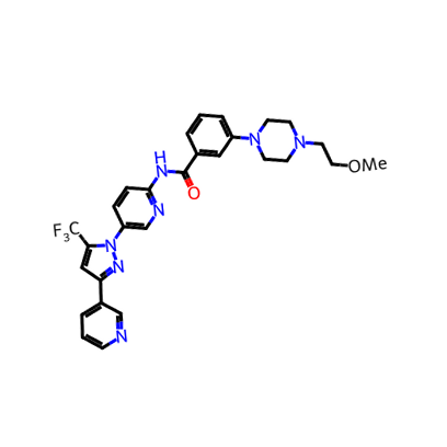 COCCN1CCN(c2cccc(C(=O)Nc3ccc(-n4nc(-c5cccnc5)cc4C(F)(F)F)cn3)c2)CC1